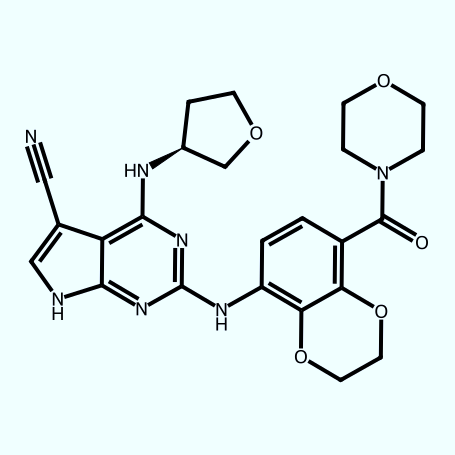 N#Cc1c[nH]c2nc(Nc3ccc(C(=O)N4CCOCC4)c4c3OCCO4)nc(N[C@H]3CCOC3)c12